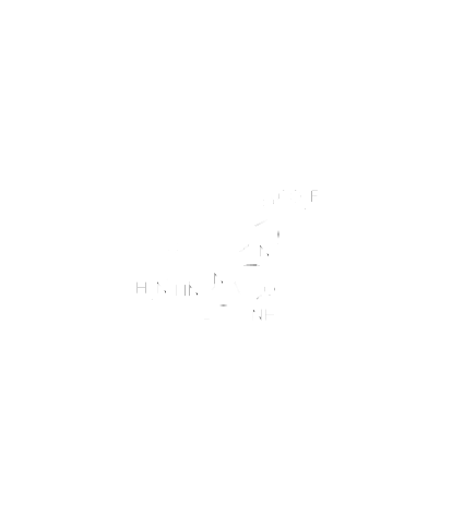 CCOC(=O)Oc1ccn2cc(-c3nc(N[C@@H]4CCOC[C@@H]4N)c(F)c4c3C(=O)NC4)cc2c1